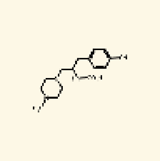 CN1CCN(CC(Cc2ccc(C#N)cc2)NC(=O)O)CC1